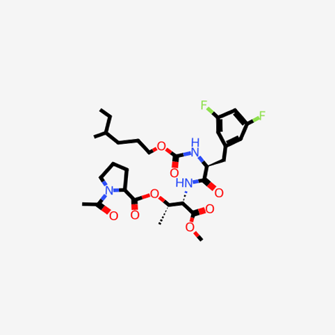 CCC(C)CCCOC(=O)N[C@@H](Cc1cc(F)cc(F)c1)C(=O)N[C@H](C(=O)OC)[C@H](C)OC(=O)C1CCCN1C(C)=O